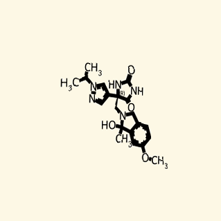 COc1ccc2c(c1)C(C)(O)N(C[C@@]1(c3cnn(C(C)C)c3)NC(=O)NC1=O)C2